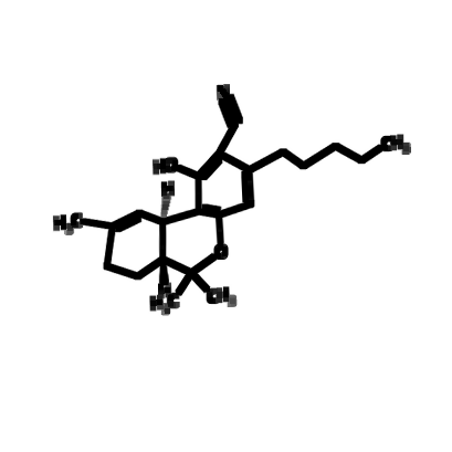 CCCCCc1cc2c(c(O)c1C#N)[C@@H]1C=C(C)CC[C@H]1C(C)(C)O2